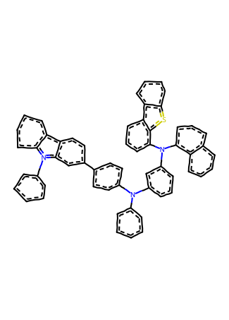 c1ccc(N(c2ccc(-c3ccc4c5ccccc5n(-c5ccccc5)c4c3)cc2)c2cccc(N(c3cccc4ccccc34)c3cccc4c3sc3ccccc34)c2)cc1